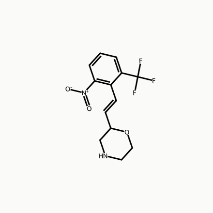 O=[N+]([O-])c1cccc(C(F)(F)F)c1C=CC1CNCCO1